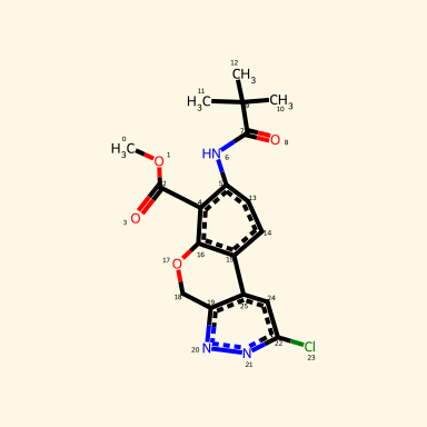 COC(=O)c1c(NC(=O)C(C)(C)C)ccc2c1OCc1nnc(Cl)cc1-2